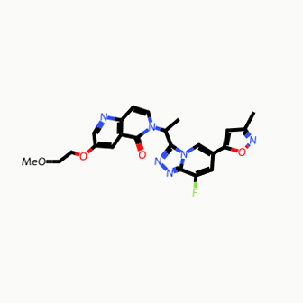 COCCOc1cnc2ccn(C(C)c3nnc4c(F)cc(-c5cc(C)no5)cn34)c(=O)c2c1